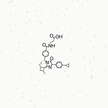 CC[C@H](c1ccc(C(=O)NCCC(=O)O)cc1)N1C(=O)C(c2ccc(C3CC3)cc2)=NC1=C1C(C)CC1C